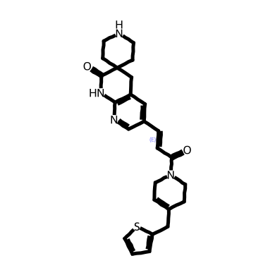 O=C(/C=C/c1cnc2c(c1)CC1(CCNCC1)C(=O)N2)N1CC=C(Cc2cccs2)CC1